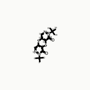 CC(C)(C)n1ncc2c(c1=O)Sc1c(cnn(C(C)(C)C)c1=O)S2